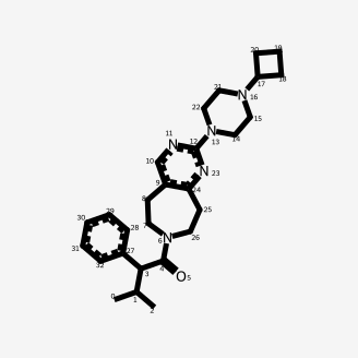 CC(C)C(C(=O)N1CCc2cnc(N3CCN(C4CCC4)CC3)nc2CC1)c1ccccc1